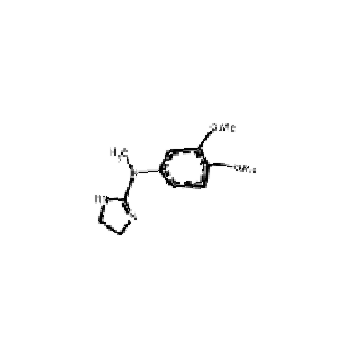 COc1ccc(N(C)C2=NCCN2)cc1OC